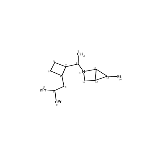 CCCC(CCC)CC1CCC1C(C)N1CC2C(CC)C21